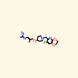 C=N/C(C)=N\C=C(/C)COC1CCN([C@H](C)c2nc3c(cc2F)OCCO3)CC1